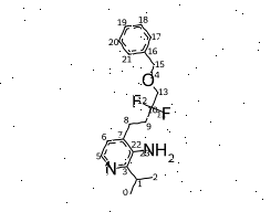 CC(C)c1nccc(CCC(F)(F)COCc2ccccc2)c1N